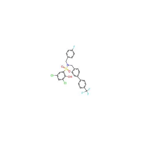 O=S(=O)(c1cc(Cl)cc(Cl)c1O)N(Cc1ccc(F)cc1)Cc1ccc(-c2ccc(C(F)(F)F)cc2)cc1